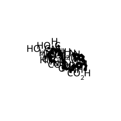 C#CCN(Cc1ccc2nc(N)[nH]c(=O)c2c1)c1ccc(C(=O)NC(CCC(=O)OSSCCC(=O)N[C@@H](CC(=O)O)C(=O)N[C@@H](CC(=O)O)C(=O)N[C@@H](CC(=O)O)C(=O)N[C@@H](CN)C(=O)O)C(=O)O)cc1